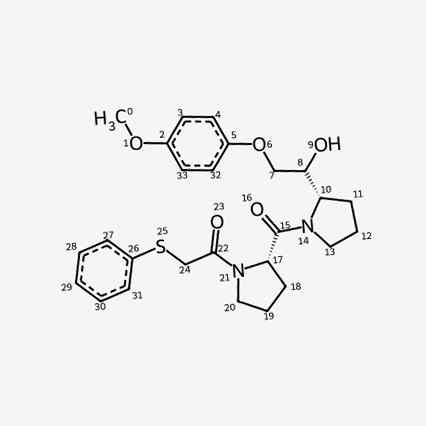 COc1ccc(OCC(O)[C@@H]2CCCN2C(=O)[C@@H]2CCCN2C(=O)CSc2ccccc2)cc1